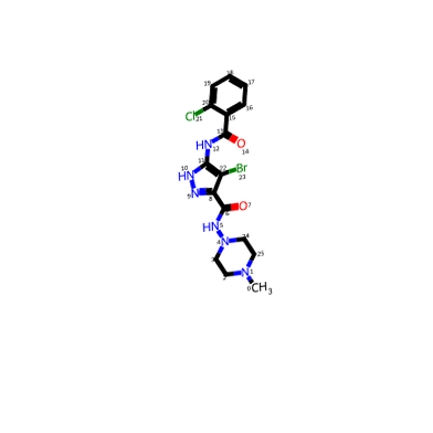 CN1CCN(NC(=O)c2n[nH]c(NC(=O)c3ccccc3Cl)c2Br)CC1